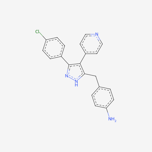 Nc1ccc(Cc2[nH]nc(-c3ccc(Cl)cc3)c2-c2ccncc2)cc1